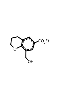 CCOC(=O)c1cc(CO)c2c(c1)CCCO2